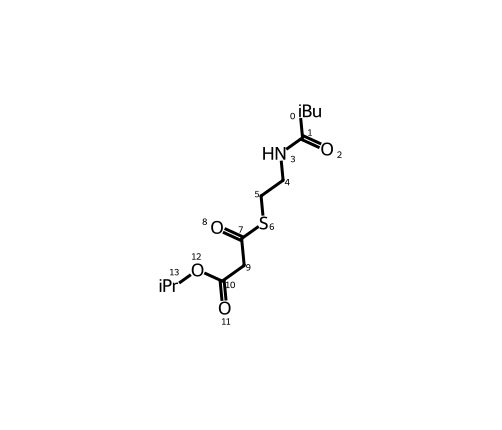 CCC(C)C(=O)NCCSC(=O)CC(=O)OC(C)C